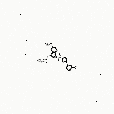 COc1ccc2c(c1)c(CCC(=O)O)cn2S(=O)(=O)c1ccc(-c2cccc(Cl)c2)s1